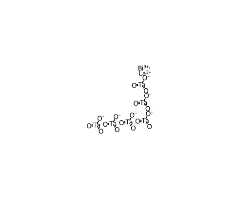 [Bi+3].[La+3].[O]=[Ta](=[O])[O-].[O]=[Ta](=[O])[O-].[O]=[Ta](=[O])[O-].[O]=[Ta](=[O])[O-].[O]=[Ta](=[O])[O-].[O]=[Ta](=[O])[O-]